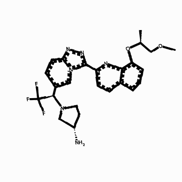 COC[C@H](C)Oc1cccc2ccc(-c3nnc4ccc([C@@H](N5CC[C@H](N)C5)C(F)(F)F)cn34)nc12